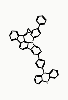 c1ccc(-c2ccc(-n3c4ccc(-c5ccc(N6c7ccccc7Sc7ccccc76)cc5)cc4c4ccc5c(c43)C(=C3CC3)c3ccccc3-5)cc2)cc1